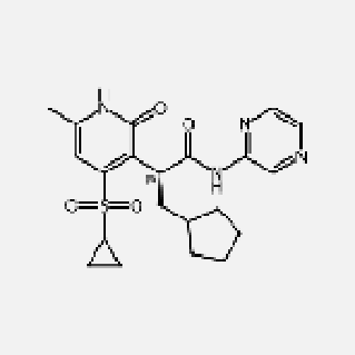 Cc1cc(S(=O)(=O)C2CC2)c([C@H](CC2CCCC2)C(=O)Nc2cnccn2)c(=O)[nH]1